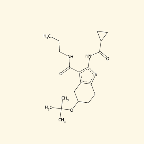 CCCNC(=O)c1c(NC(=O)C2CC2)sc2c1CC(OC(C)(C)C)CC2